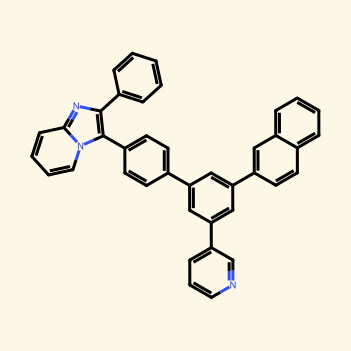 c1ccc(-c2nc3ccccn3c2-c2ccc(-c3cc(-c4cccnc4)cc(-c4ccc5ccccc5c4)c3)cc2)cc1